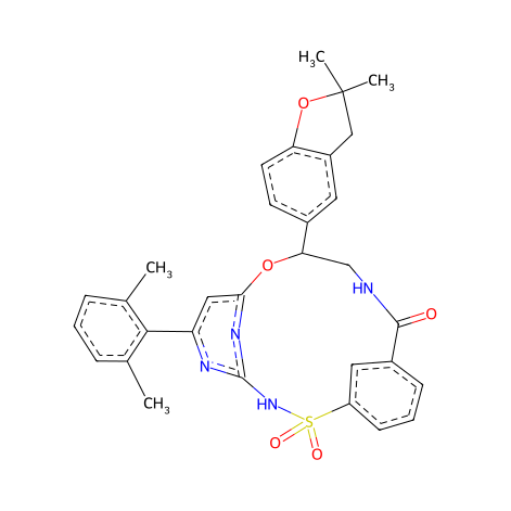 Cc1cccc(C)c1-c1cc2nc(n1)NS(=O)(=O)c1cccc(c1)C(=O)NCC(c1ccc3c(c1)CC(C)(C)O3)O2